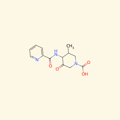 CC1CN(C(=O)O)CC(=O)C1NC(=O)c1ccccn1